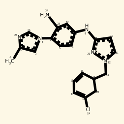 Cc1cn(-c2ccc(Nc3ccn(CC4C=CC=C(Cl)C4)n3)cc2N)cn1